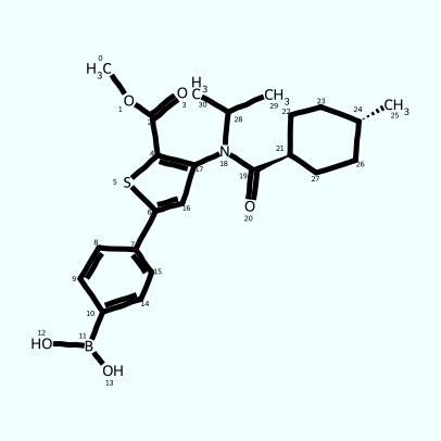 COC(=O)c1sc(-c2ccc(B(O)O)cc2)cc1N(C(=O)[C@H]1CC[C@H](C)CC1)C(C)C